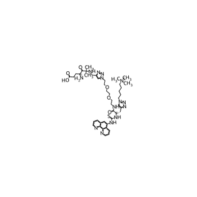 CC(C)(NCc1cn(CCOCCOCCNC(=O)[C@H](Cc2cn(CCCCC[N+](C)(C)C)nn2)NC(=S)Nc2cc3cccnc3c3ncccc23)nn1)C(=O)[C@@H](N)CCC(=O)O